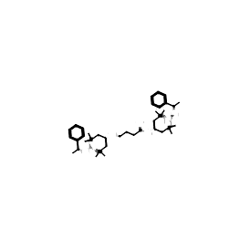 CC(ON1C(C)(C)CC(OCCCC(=O)OC2CC(C)(C)N(OC(C)c3ccccc3)C(C)(C)C2)CC1(C)C)c1ccccc1